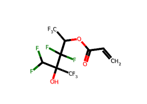 C=CC(=O)OC(C(F)(F)F)C(F)(F)C(O)(C(F)F)C(F)(F)F